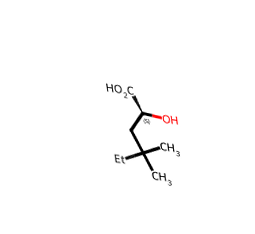 CCC(C)(C)C[C@H](O)C(=O)O